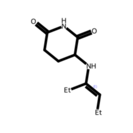 CC/C=C(\CC)NC1CCC(=O)NC1=O